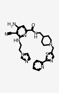 N#Cc1c(N)cc(C(=O)NCC2CCN(Cc3cnc(-c4ccccn4)s3)CC2)nc1NCCn1ccnc1